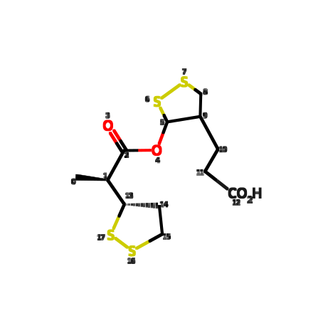 C[C@@H](C(=O)OC1SSCC1CCC(=O)O)[C@@H]1CCSS1